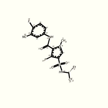 CC[C@@H](NS(=O)(=O)c1cn(C)c(C(=O)Nc2ccc(F)c(C#N)c2)c1F)C(F)(F)F